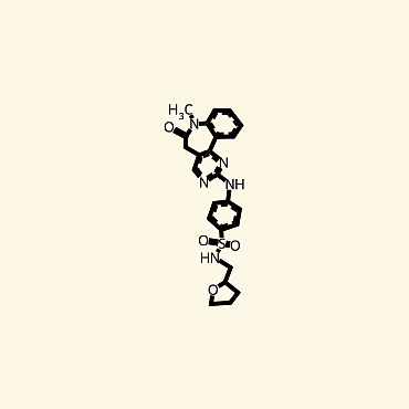 CN1C(=O)Cc2cnc(Nc3ccc(S(=O)(=O)NCC4CCCO4)cc3)nc2-c2ccccc21